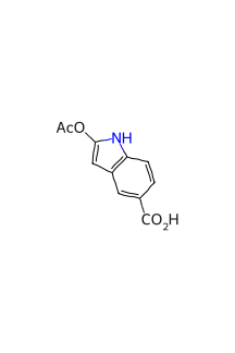 CC(=O)Oc1cc2cc(C(=O)O)ccc2[nH]1